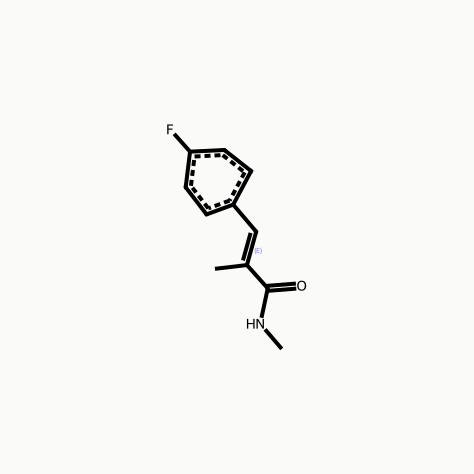 CNC(=O)/C(C)=C/c1ccc(F)cc1